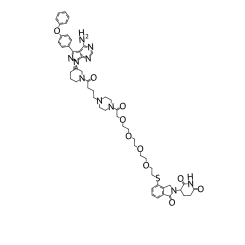 Nc1ncnc2c1c(-c1ccc(Oc3ccccc3)cc1)nn2[C@@H]1CCCN(C(=O)CCCN2CCN(C(=O)COCCOCCOCCOCCSc3cccc4c3CN(C3CCC(=O)NC3=O)C4=O)CC2)C1